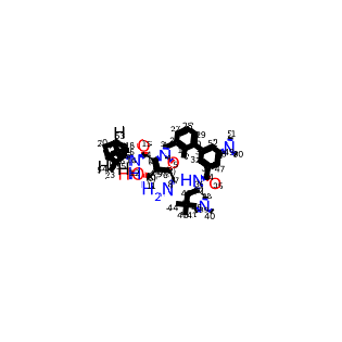 Cc1c(CN2O[C@@H](CN)[C@@H]([C@H](C)O)[C@H]2C(=O)NC2C[C@H]3C[C@@H]([C@@H]2C)C3(C)C)cccc1-c1cc(C(=O)N[C@H](CN(C)C)CC(C)(C)C)cc(N(C)C)c1